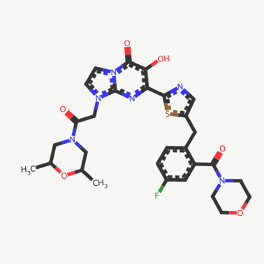 CC1CN(C(=O)Cn2ccn3c(=O)c(O)c(-c4ncc(Cc5ccc(F)cc5C(=O)N5CCOCC5)s4)nc23)CC(C)O1